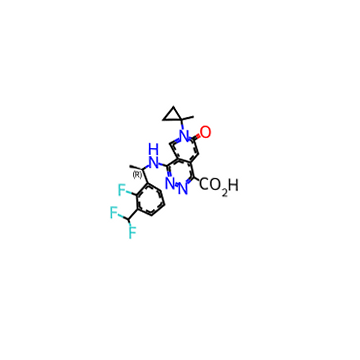 C[C@@H](Nc1nnc(C(=O)O)c2cc(=O)n(C3(C)CC3)cc12)c1cccc(C(F)F)c1F